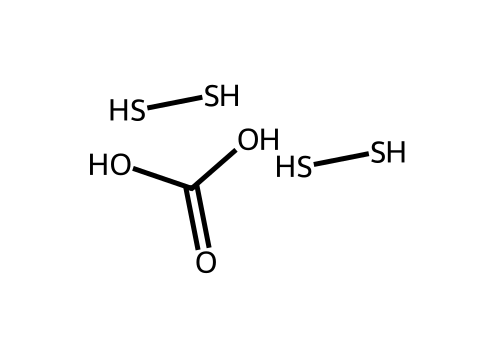 O=C(O)O.SS.SS